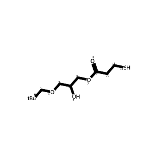 CC(C)(C)COCC(O)COC(=O)CCS